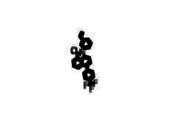 C=Cc1cccc(N2C(=O)c3cccc4c(-c5ccc(C(F)(F)F)cc5)ccc2c34)c1